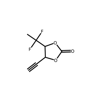 C#CC1OC(=O)OC1C(C)(F)F